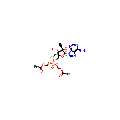 C#C[C@@]1(O)[C@H](O)[C@@](CCl)(COP(=O)(OCOC(=O)C(C)C)OCOC(=O)C(C)C)O[C@H]1n1cnc2c(N)ncnc21